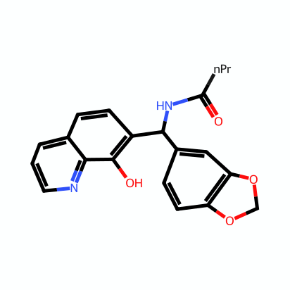 CCCC(=O)NC(c1ccc2c(c1)OCO2)c1ccc2cccnc2c1O